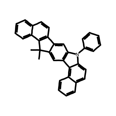 CC1(C)c2cc3c4c5ccccc5ccc4n(-c4ccccc4)c3cc2-c2ccc3ccccc3c21